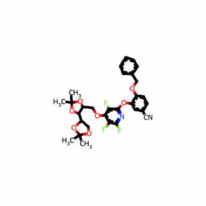 CC1(C)OCC(C2OC(C)(C)OC2COc2c(F)c(F)nc(Oc3cc(C#N)ccc3OCc3ccccc3)c2F)O1